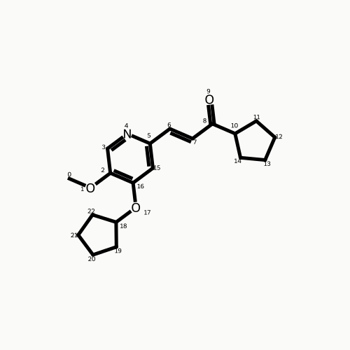 COc1cnc(C=CC(=O)C2CCCC2)cc1OC1CCCC1